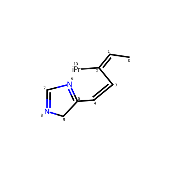 C/C=C(\C=C/C1=NC=NC1)C(C)C